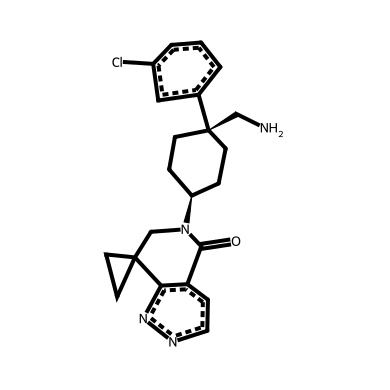 NC[C@]1(c2cccc(Cl)c2)CC[C@H](N2CC3(CC3)c3nnccc3C2=O)CC1